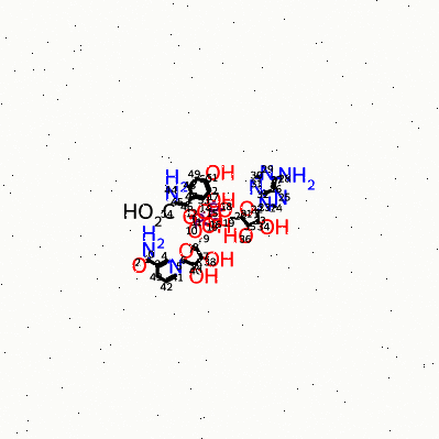 NC(=O)C1=CN([C@@H]2O[C@H](COP(=O)(O)OP(=O)(O)OC[C@H]3O[C@@H](n4cnc5c(N)ncnc54)[C@H](O)[C@@H]3O)[C@@H](O)[C@H]2O)C=CC1.NC(Cc1ccc(O)cc1)C(=O)O